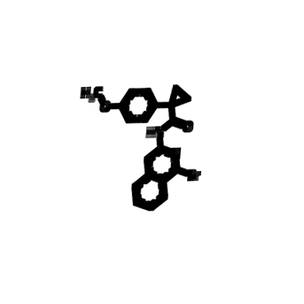 COc1ccc(C2(C(=O)Nc3cc4ccccc4c(Br)n3)CC2)cc1